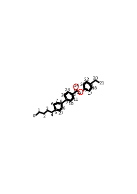 CCCCCc1ccc(-c2ccc(C(=O)Oc3ccc(CC)cc3)cc2)cc1